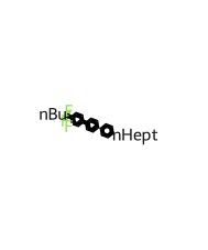 CCCCCCC[C@H]1CC[C@H](c2ccc(-c3ccc(C(F)(F)CCCC)c(F)c3)cc2)CC1